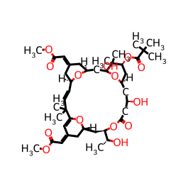 COC(=O)/C=C1\C=C2O[C@@H](C1)C[C@H]([C@@H](C)O)OC(=O)C[C@H](O)C[C@@H]1C[C@H](OC(=O)C(C)(C)C)C(C)(C)[C@](O)(C[C@@H]3C/C(=C/C(=O)OC)C[C@H](/C=C/C2(C)C)O3)O1